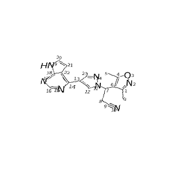 Cc1noc(C)c1C(CC#N)n1cc(-c2ncnc3[nH]ccc23)cn1